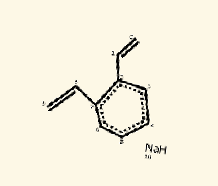 C=Cc1ccccc1C=C.[NaH]